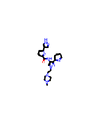 CN1CCN(CCn2cc(NC(=O)c3cccc(-c4cn[nH]c4)n3)c(-c3ccccn3)n2)CC1